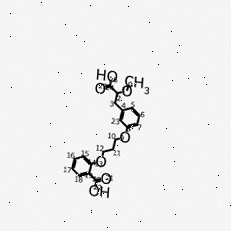 COC(Cc1cccc(OCCCOc2ccccc2C(=O)O)c1)C(=O)O